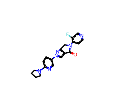 O=C1c2cn(-c3ccc(N4CCCC4)nc3)nc2CN1c1ccncc1F